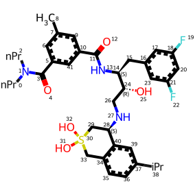 CCCN(CCC)C(=O)c1cc(C)cc(C(=O)N[C@@H](Cc2cc(F)cc(F)c2)[C@H](O)CN[C@@H]2CS(O)(O)Cc3ccc(C(C)C)cc32)c1